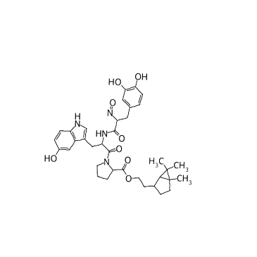 CC1(C)C2C(CCOC(=O)C3CCCN3C(=O)C(Cc3c[nH]c4ccc(O)cc34)NC(=O)C(Cc3ccc(O)c(O)c3)N=O)CCC21C